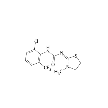 CN1CCSC1=NC(=O)Nc1c(Cl)cccc1C(F)(F)F